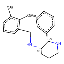 COc1c(CN[C@H]2CCCN[C@H]2c2ccccc2)cccc1C(C)(C)C